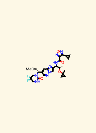 COC[C@H](c1cnn2cc([C@@H](NC(=O)c3nonc3C3CC3)[C@H](C)OC3(C)CC3)nc2c1)N1CC(F)(F)CNC1=O